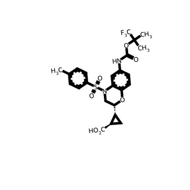 Cc1ccc(S(=O)(=O)N2CC([C@@H]3C[C@H]3C(=O)O)Oc3ccc(NC(=O)OC(C)(C)C(F)(F)F)cc32)cc1